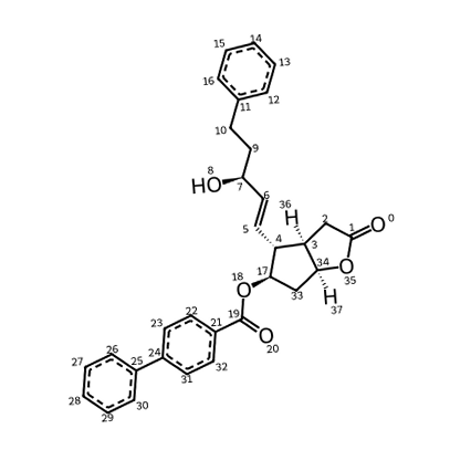 O=C1C[C@@H]2[C@@H](C=C[C@@H](O)CCc3ccccc3)[C@H](OC(=O)c3ccc(-c4ccccc4)cc3)C[C@@H]2O1